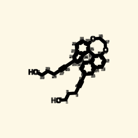 OCCCC#Cc1ccc2c3c(ccc2c1)OCCOc1ccc2cc(C#CCCCO)ccc2c1-3